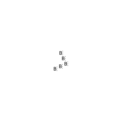 [B].[B].[B].[B].[B]